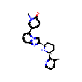 Cc1cccnc1[C@@H]1CCC[C@H](c2cn3c(-c4ccc(=O)n(C)c4)cccc3n2)N1